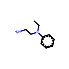 CCN(CCN)c1ccccc1